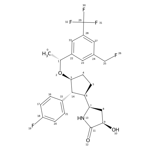 C[C@@H](O[C@H]1CC[C@@H]([C@H]2C[C@@H](O)C(=O)N2)[C@@H]1c1ccc(F)cc1)c1cc(CF)cc(C(F)(F)F)c1